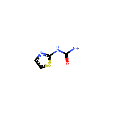 [NH]C(=O)Nc1nccs1